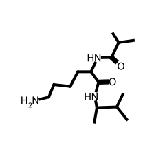 CC(C)C(=O)NC(CCCCN)C(=O)NC(C)C(C)C